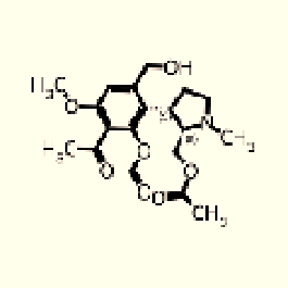 COc1cc(CO)c([C@@H]2CCN(C)[C@H]2COC(C)=O)c(OC=O)c1C(C)=O